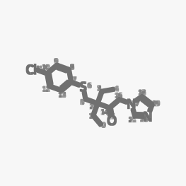 CCC(CC)(CSc1ccc(Cl)cc1)C(=O)Cn1ccnc1